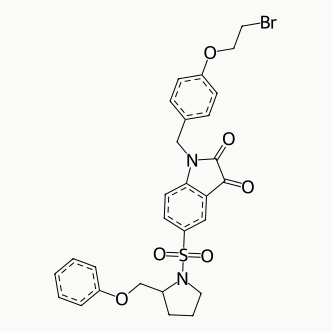 O=C1C(=O)N(Cc2ccc(OCCBr)cc2)c2ccc(S(=O)(=O)N3CCCC3COc3ccccc3)cc21